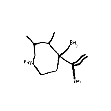 BC1(C(=C)C(C)C)CCNC(C)C1C